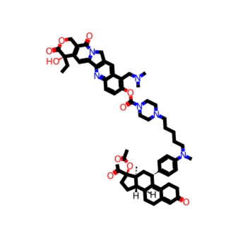 CC[C@@]1(O)C(=O)OCc2c1cc1n(c2=O)Cc2cc3c(CN(C)C)c(OC(=O)N4CCN(CCCCCN(C)c5ccc([C@H]6C[C@@]7(C)[C@@H](CC[C@]7(OC(C)=O)C(C)=O)[C@@H]7CCC8=CC(=O)CCC8=C76)cc5)CC4)ccc3nc2-1